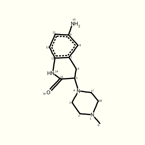 CN1CCN(C2Cc3cc(N)ccc3NC2=O)CC1